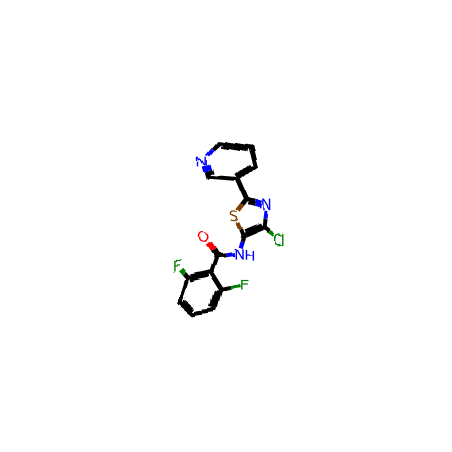 O=C(Nc1sc(-c2cccnc2)nc1Cl)c1c(F)cccc1F